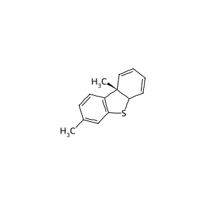 Cc1ccc2c(c1)SC1C=CC=C[C@@]21C